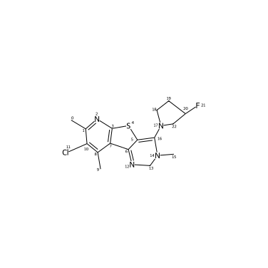 Cc1nc2sc3c(c2c(C)c1Cl)=NCN(C)C=3N1CCC(F)C1